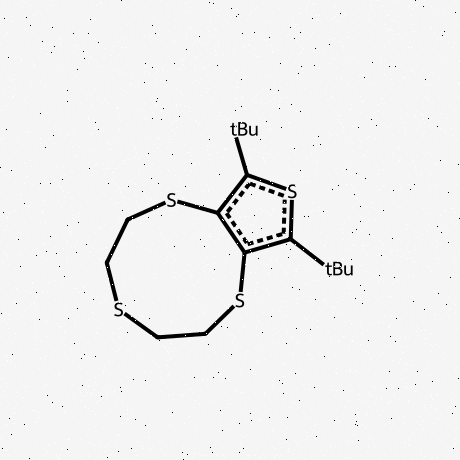 CC(C)(C)c1sc(C(C)(C)C)c2c1SCCSCCS2